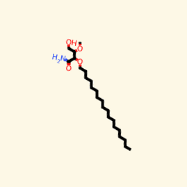 CCCCCCCCCCCCCCCCCCOC(C(N)=O)C(CO)OC